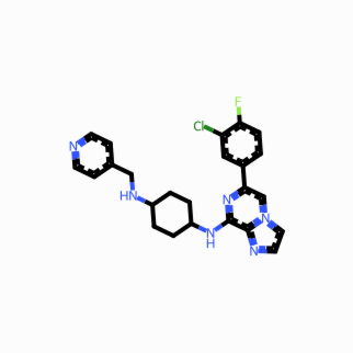 Fc1ccc(-c2cn3ccnc3c(NC3CCC(NCc4ccncc4)CC3)n2)cc1Cl